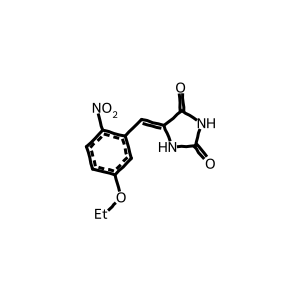 CCOc1ccc([N+](=O)[O-])c(/C=C2\NC(=O)NC2=O)c1